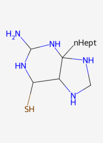 CCCCCCCC12NCNC1C(S)NC(N)N2